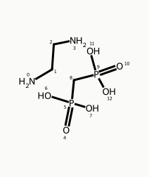 NCCN.O=P(O)(O)CP(=O)(O)O